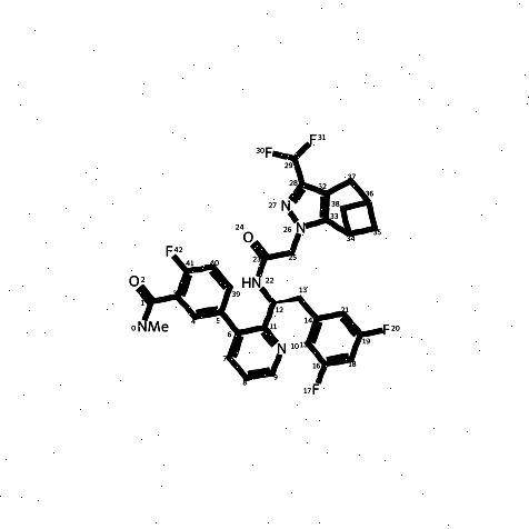 CNC(=O)c1cc(-c2cccnc2[C@H](Cc2cc(F)cc(F)c2)NC(=O)Cn2nc(C(F)F)c3c2C2CC(C3)C2)ccc1F